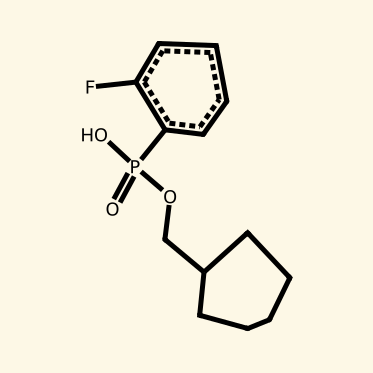 O=P(O)(OCC1CCCCC1)c1ccccc1F